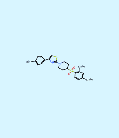 CCCc1ccc(-c2csc(N3CCC(S(=O)(=O)c4ccc(OC)cc4OC)CC3)n2)cc1